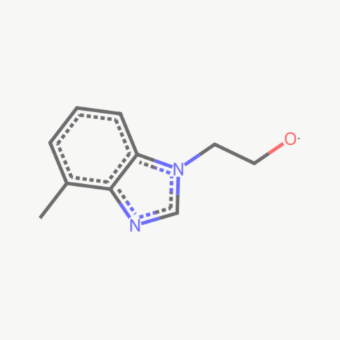 Cc1cccc2c1ncn2CC[O]